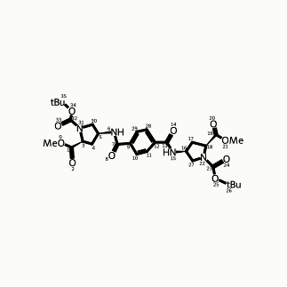 COC(=O)[C@@H]1C[C@H](NC(=O)c2ccc(C(=O)N[C@H]3C[C@@H](C(=O)OC)N(C(=O)OC(C)(C)C)C3)cc2)CN1C(=O)OC(C)(C)C